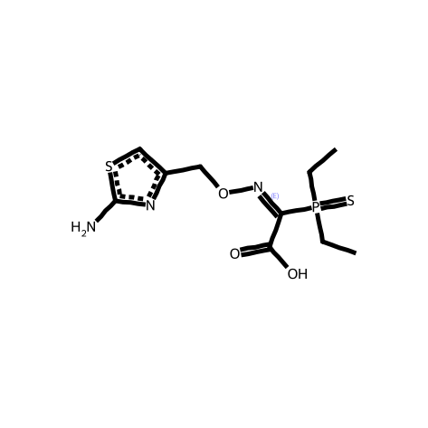 CCP(=S)(CC)/C(=N/OCc1csc(N)n1)C(=O)O